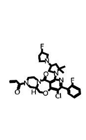 C=CC(=O)N1CCN2C(=O)c3c(N4CC(N5CCC(F)C5)CC4(C)C)nc(-c4ccccc4F)c(Cl)c3OC[C@H]2C1